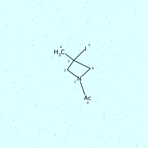 CC(=O)N1CC(C)(I)C1